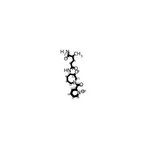 CC(C[CH]C(=O)N[C@H]1CCCN(C(=O)c2cccc[n+]2[O-])CC1=O)C(N)=O